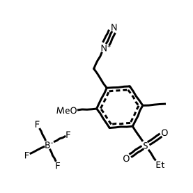 CCS(=O)(=O)c1cc(OC)c(C[N+]#N)cc1C.F[B-](F)(F)F